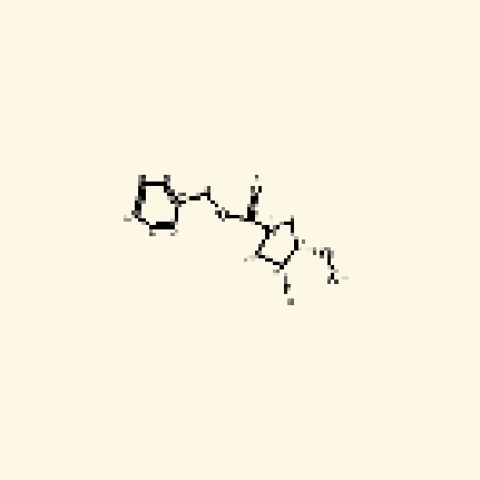 CO[C@H]1CN(C(=O)OCc2ccccc2)C[C@H]1F